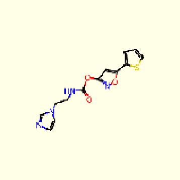 O=C(NCCn1ccnc1)Oc1cc(-c2cccs2)on1